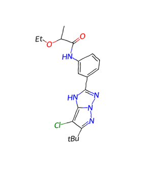 CCOC(C)C(=O)Nc1cccc(-c2nn3nc(C(C)(C)C)c(Cl)c3[nH]2)c1